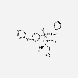 O=C(N[C@H](BO)CC1CC1)[C@H](Cc1ccccc1)NS(=O)(=O)c1ccc(Oc2ccncc2)cc1